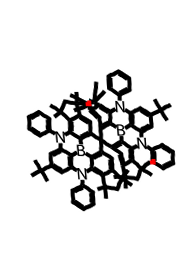 CC(C)(C)c1cc2c3c(c1)N(c1ccccc1)c1c4c(cc5c1C(C)(C)CC5(C)C)C1(c5cc6c(c(c5B34)N2c2ccccc2)C(C)(C)CC6(C)C)c2cc3c(c4c2B2c5c(cc(C(C)(C)C)cc5N(c5ccccc5)c5c2c1cc1c5C(C)(C)CC1(C)C)N4c1ccccc1)C(C)(C)CC3(C)C